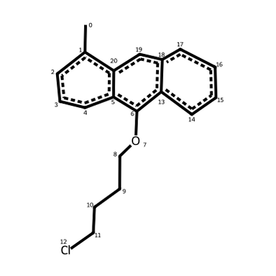 Cc1cccc2c(OCCCCCl)c3ccccc3cc12